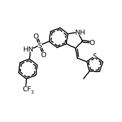 Cc1ccsc1C=C1C(=O)Nc2ccc(S(=O)(=O)Nc3ccc(C(F)(F)F)cc3)cc21